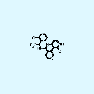 O=c1[nH]ccc2nc(NC(c3ccccc3Cl)C(F)(F)F)c3ccncc3c12